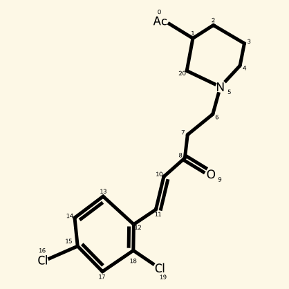 CC(=O)C1CCCN(CCC(=O)/C=C/c2ccc(Cl)cc2Cl)C1